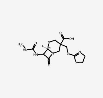 CNC(=O)NC1C(=O)N2CC(CSC3=NCCS3)(C(=O)O)CS[C@H]12